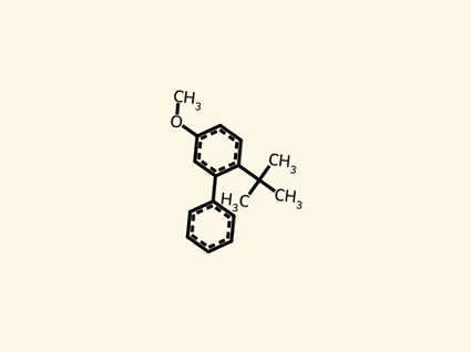 COc1ccc(C(C)(C)C)c(-c2ccccc2)c1